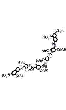 COc1cc(N=Nc2cc(OC)c(NCNc3cc(C)c(N=Nc4cc(OC)c(/N=N/c5ccc6cc(S(=O)(=O)O)cc(S(=O)(=O)O)c6c5)cc4OC)cc3OC)cc2C)c(OC)cc1N=Nc1ccc2cc(S(=O)(=O)O)cc(S(=O)(=O)O)c2c1